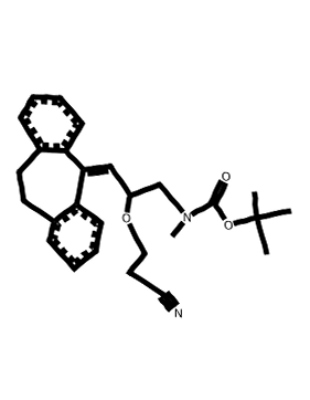 CN(CC(C=C1c2ccccc2CCc2ccccc21)OCCC#N)C(=O)OC(C)(C)C